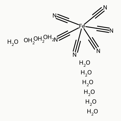 N#[C][Fe]([C]#N)([C]#N)([C]#N)([C]#N)[C]#N.O.O.O.O.O.O.O.O.O.O